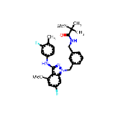 CNC(C)(C)C(=O)NCc1cccc(Cn2nc(Nc3ccc(C)c(F)c3)c3c(OC)cc(F)cc32)c1